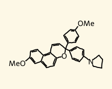 COc1ccc(C2(c3ccc(N4CCCC4)cc3)C=Cc3c(ccc4cc(OC)ccc34)O2)cc1